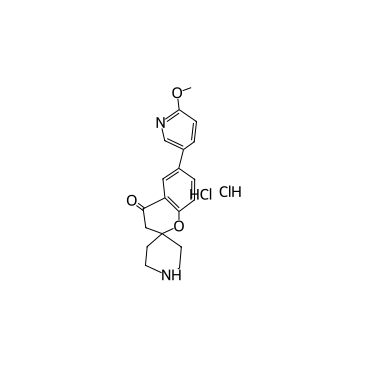 COc1ccc(-c2ccc3c(c2)C(=O)CC2(CCNCC2)O3)cn1.Cl.Cl